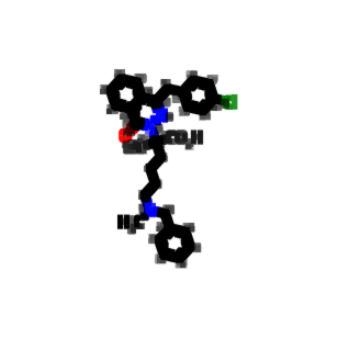 CN(CCCCC(C(=O)O)(n1nc(Cc2ccc(Cl)cc2)c2ccccc2c1=O)C(C)(C)C)Cc1ccccc1